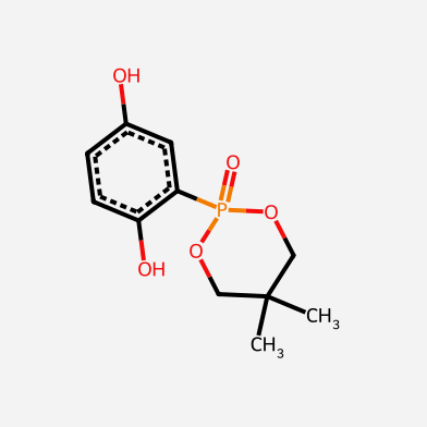 CC1(C)COP(=O)(c2cc(O)ccc2O)OC1